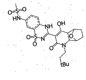 CC(C)(C)CCN1C(=O)C(C2=NS(=O)(=O)c3cc(NS(C)(=O)=O)ccc3N2)=C(O)C2C3CCC(O3)C21